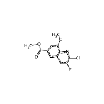 COC(=O)c1cc(OC)c2nc(Cl)c(F)cc2c1